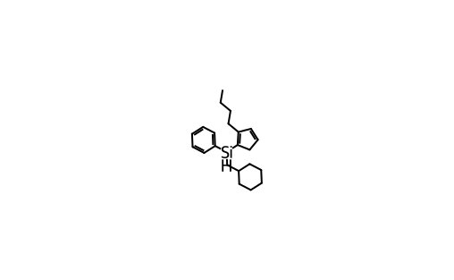 CCCCC1=C([SiH](CC2CCCCC2)c2ccccc2)CC=C1